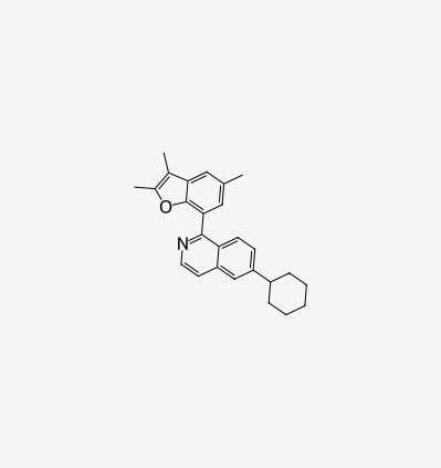 Cc1cc(-c2nccc3cc(C4CCCCC4)ccc23)c2oc(C)c(C)c2c1